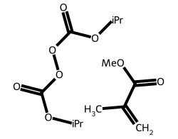 C=C(C)C(=O)OC.CC(C)OC(=O)OOC(=O)OC(C)C